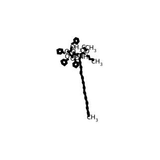 CC#CC#CC#CC#CC#CC#CC#CC#CC#CC#CC#CC(=O)N[C@@H](COC1OC(COCc2ccccc2)C(OCc2ccccc2)C(OCc2ccccc2)C1OCc1ccccc1)[C@@H]1OC(C)(C)O[C@@H]1CCCCC